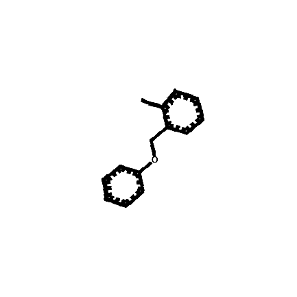 Cc1[c]cccc1COc1ccccc1